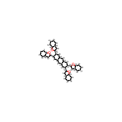 c1ccc2oc(-c3cc4cc5cc(-c6cc7ccccc7o6)c(-c6cc7ccccc7o6)cc5cc4cc3-c3cc4ccccc4o3)cc2c1